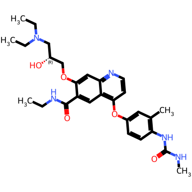 CCNC(=O)c1cc2c(Oc3ccc(NC(=O)NC)c(C)c3)ccnc2cc1OC[C@H](O)CN(CC)CC